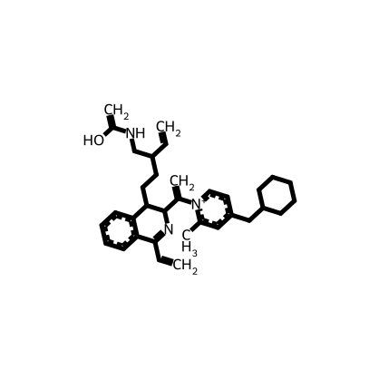 C=CC1=NC(C(=C)[n+]2ccc(CC3CCCCC3)cc2C)C(CCC(C=C)CNC(=C)O)c2ccccc21